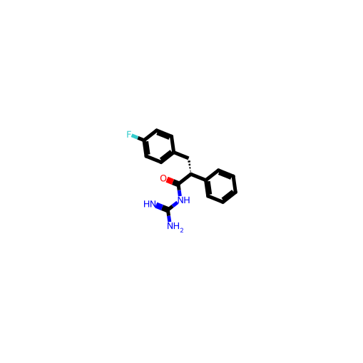 N=C(N)NC(=O)[C@H](Cc1ccc(F)cc1)c1ccccc1